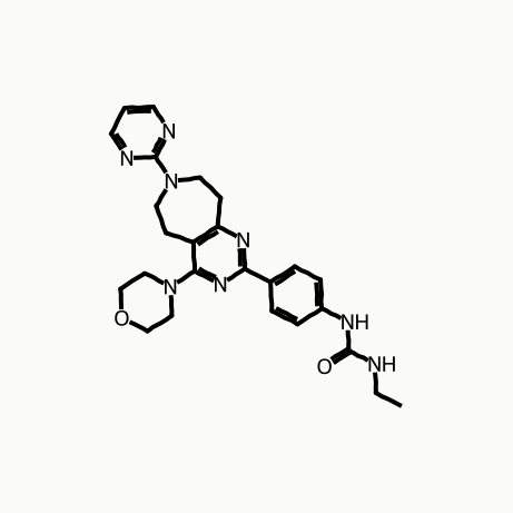 CCNC(=O)Nc1ccc(-c2nc3c(c(N4CCOCC4)n2)CCN(c2ncccn2)CC3)cc1